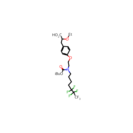 CCOC(Cc1ccc(OCCN(CCCCC(F)(F)C(F)(F)C(F)(F)F)C(=O)OCC(C)C)cc1)C(=O)O